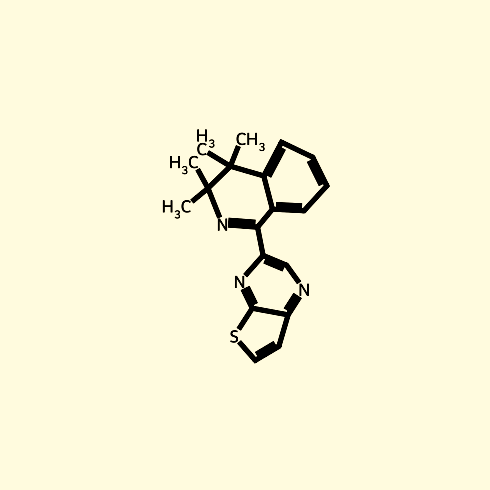 CC1(C)N=C(c2cnc3ccsc3n2)c2ccccc2C1(C)C